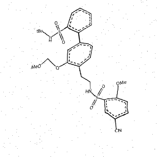 COCOc1cc(-c2ccccc2S(=O)(=O)NC(C)(C)C)ccc1CCNS(=O)(=O)c1cc(C#N)ccc1OC